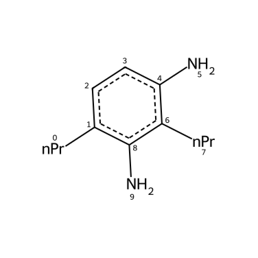 CCCc1ccc(N)c(CCC)c1N